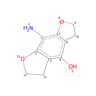 Nc1c2c(c(O)c3c1OCC3)CCO2